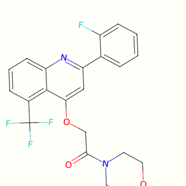 O=C(COc1cc(-c2ccccc2F)nc2cccc(C(F)(F)F)c12)N1CCOCC1